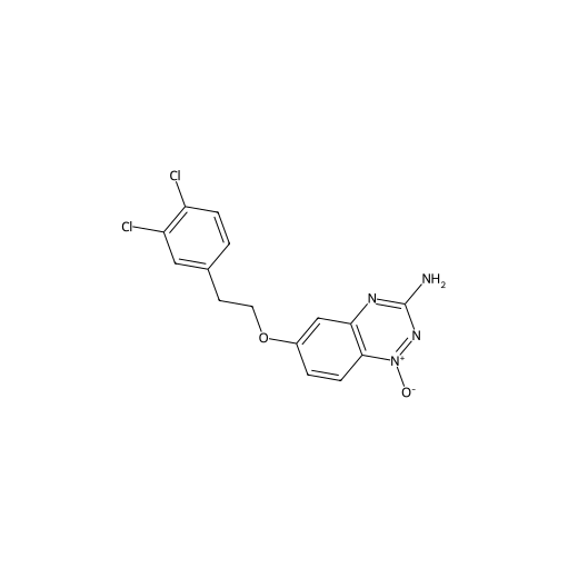 Nc1nc2cc(OCCc3ccc(Cl)c(Cl)c3)ccc2[n+]([O-])n1